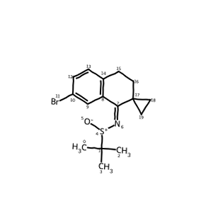 CC(C)(C)[S+]([O-])/N=C1\c2cc(Br)ccc2CCC12CC2